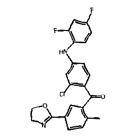 Cc1ccc(C2=NCCO2)cc1C(=O)c1ccc(Nc2ccc(F)cc2F)cc1Cl